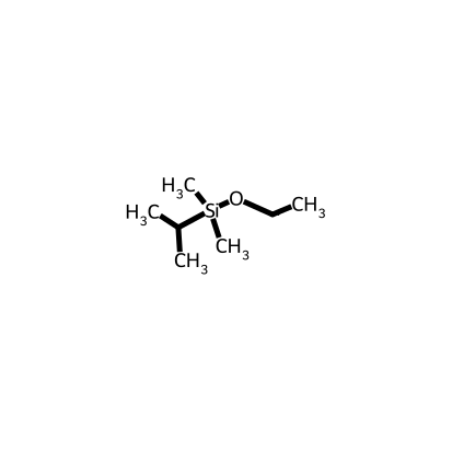 C[CH]O[Si](C)(C)C(C)C